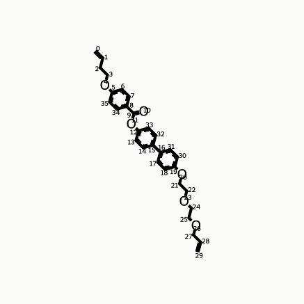 C=CCCOc1ccc(C(=O)Oc2ccc(-c3ccc(OCCOCCOCC=C)cc3)cc2)cc1